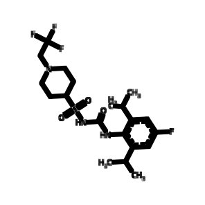 CC(C)c1cc(F)cc(C(C)C)c1NC(=O)NS(=O)(=O)C1CCN(CC(F)(F)F)CC1